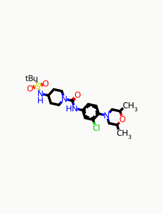 CC1CN(c2ccc(NC(=O)N3CCC(NS(=O)(=O)C(C)(C)C)CC3)cc2Cl)CC(C)O1